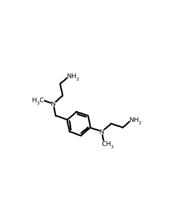 CN(CCN)Cc1ccc(N(C)CCN)cc1